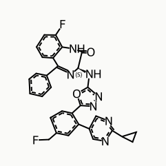 O=C1Nc2c(F)cccc2C(c2ccccc2)=N[C@@H]1Nc1nnc(-c2ccc(CF)cc2-c2cnc(C3CC3)nc2)o1